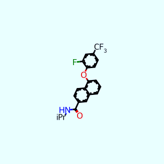 CC(C)NC(=O)c1ccc2c(Oc3ccc(C(F)(F)F)cc3F)cccc2c1